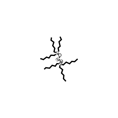 CCCCCC[Si](CCCCCC)(CCCCCC)O[Si]O[Si](CCCCCC)(CCCCCC)CCCCCC